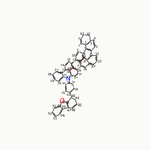 C1=Cc2c(cccc2-c2ccc(-c3ccc(-c4ccccc4N(c4ccc(-c5ccc6ccccc6c5)cc4)c4ccc(C5CC=Cc6c5oc5ccccc65)cc4)cc3)cc2)CC1